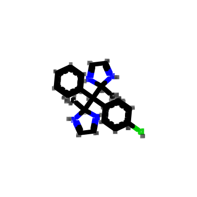 CC1(C(c2ccccc2)(c2ccc(Cl)cc2)C2(C)N=CC=N2)N=CC=N1